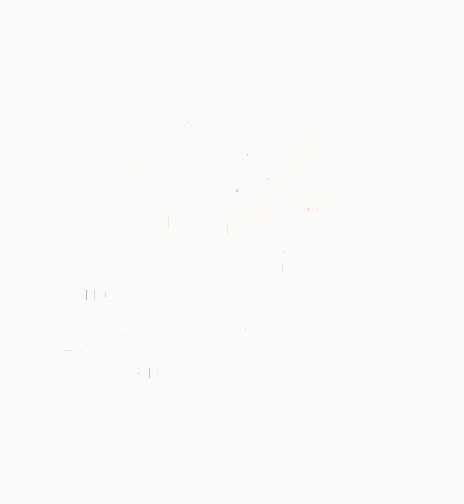 CC(C)(C)c1ccc([I+]c2ccccc2)cc1.O=S(=O)([O-])C(F)(F)C(F)C(F)(F)F